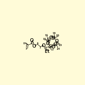 C=C(C)C(=O)OCCOC(CC)[Si]1(C)O[Si](C)(C)O[Si](C)(C)O[Si](C)(C)O1